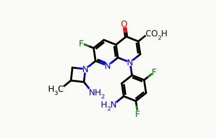 CC1CN(c2nc3c(cc2F)c(=O)c(C(=O)O)cn3-c2cc(N)c(F)cc2F)C1N